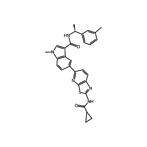 Cc1cccc([C@H](C)NC(=O)c2cn(C)c3ccc(-c4ccc5nc(NC(=O)C6CC6)sc5n4)cc23)c1